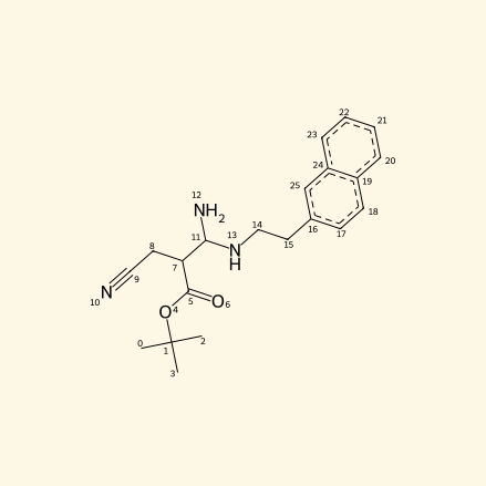 CC(C)(C)OC(=O)C(CC#N)C(N)NCCc1ccc2ccccc2c1